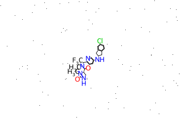 CN(C(=O)[C@H]1CNC(=O)N1C)C(c1ccc(N[C@H]2Cc3ccc(Cl)cc3C2)cn1)C(F)(F)F